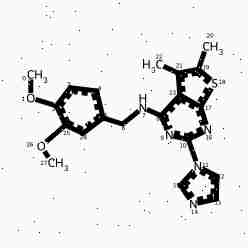 COc1ccc(CNc2nc(-n3ccnc3)nc3sc(C)c(C)c23)cc1OC